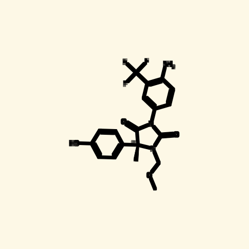 COCN1C(=O)N(c2ccc(N)c(C(F)(F)F)c2)C(=O)[C@@]1(C)c1ccc(O)cc1